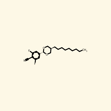 CCCCCCCCC[C@H]1CO[C@H](c2cc(F)c(C#N)c(F)c2)OC1